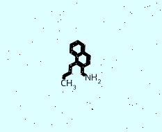 CCCCc1c(CN)ccc2ccccc12